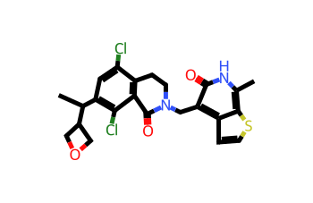 Cc1[nH]c(=O)c(CN2CCc3c(Cl)cc(C(C)C4COC4)c(Cl)c3C2=O)c2ccsc12